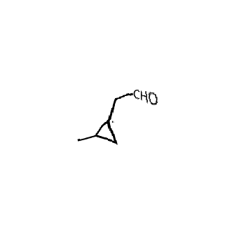 CC1C[C]1CC=O